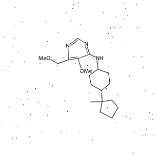 COCc1ncnc(NC2CCC(C3(C)CCCC3)CC2)c1OC